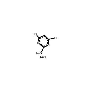 CSc1nc(O)cc(O)n1.[NaH]